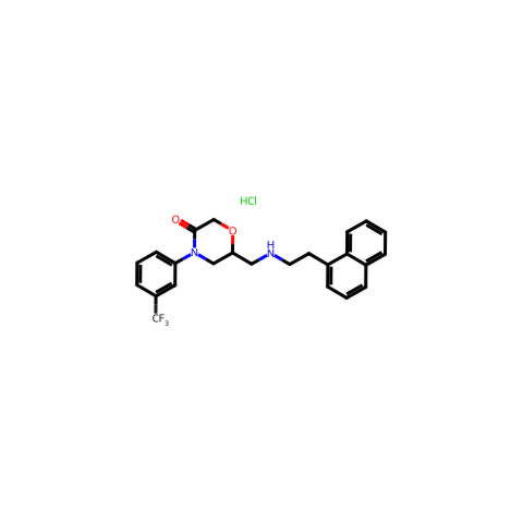 Cl.O=C1COC(CNCCc2cccc3ccccc23)CN1c1cccc(C(F)(F)F)c1